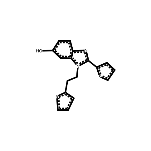 Oc1ccc2nc(-c3cccs3)n(CCc3cccs3)c2c1